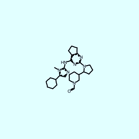 Cn1c(C2CCCCC2)cnc1Nc1nc(N2CCCC2C2CCCN(C=O)C2)nc2c1CCC2